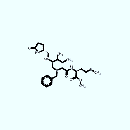 CC[C@H](C)[C@@H](CN(CC(=O)N[C@@H](CCSC)C(=O)OC)Cc1ccccc1)NC[C@H]1CCC(=O)N1